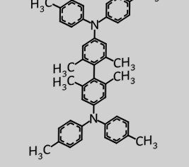 Cc1ccc(N(c2ccc(C)cc2)c2cc(C)c(-c3c(C)cc(N(c4ccc(C)cc4)c4ccc(C)cc4)cc3C)c(C)c2)cc1